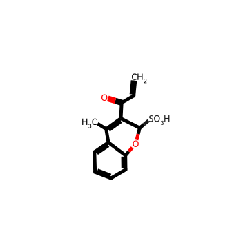 C=CC(=O)C1=C(C)c2ccccc2OC1S(=O)(=O)O